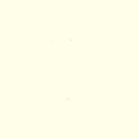 NC(=O)C1CCCC(C(=O)O)CC1